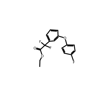 CCOC(=O)C(F)(F)c1cccc(Oc2ccc(F)cc2)c1